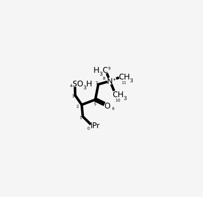 CC(C)CC(CS(=O)(=O)O)C(=O)C[N+](C)(C)C